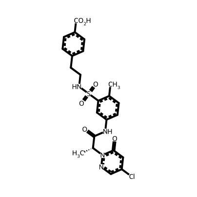 Cc1ccc(NC(=O)[C@@H](C)n2ncc(Cl)cc2=O)cc1S(=O)(=O)NCCc1ccc(C(=O)O)cc1